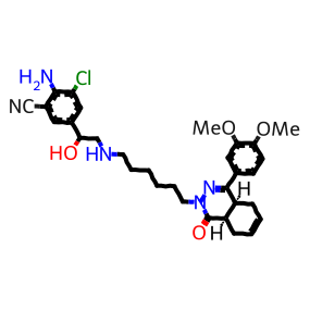 COc1ccc(C2=NN(CCCCCCNCC(O)c3cc(Cl)c(N)c(C#N)c3)C(=O)[C@@H]3CC=CC[C@H]23)cc1OC